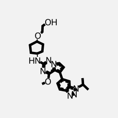 COc1nc(N[C@H]2CC[C@@H](OCCO)CC2)nn2ccc(-c3ccc4nnn(C(C)C)c4c3)c12